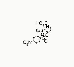 CC(C)(C)C1[C@H](OS(=O)(=O)c2ccc([N+](=O)[O-])cc2)CCN1C(=O)O